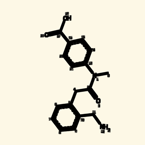 CN(C(=O)Cc1ccccc1CN)c1ccc(C(=O)O)cc1